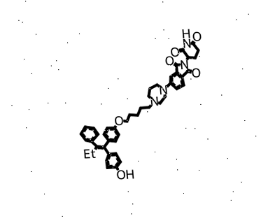 CCC(=C(c1ccc(O)cc1)c1ccc(OCCCCCN2CCCN(c3ccc4c(c3)C(=O)N(C3CCC(=O)NC3=O)C4=O)CC2)cc1)c1ccccc1